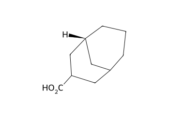 O=C(O)C1CC2CCC[C@H](C2)C1